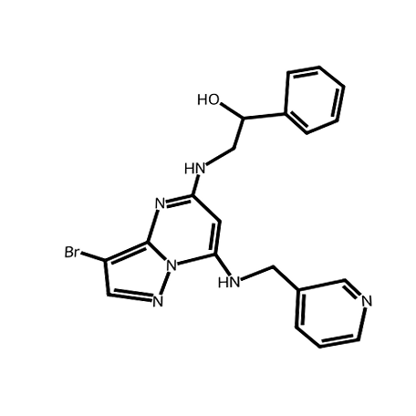 OC(CNc1cc(NCc2cccnc2)n2ncc(Br)c2n1)c1ccccc1